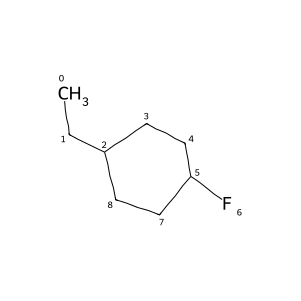 CCC1CCC(F)CC1